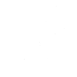 CCC(CC)NC(Cc1ccc(O)cc1)C(=O)OC